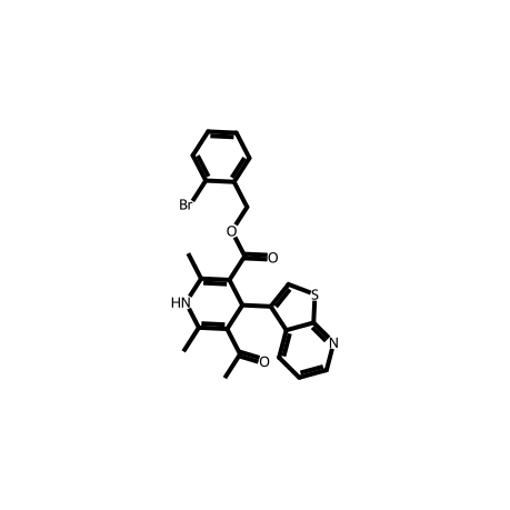 CC(=O)C1=C(C)NC(C)=C(C(=O)OCc2ccccc2Br)C1c1csc2ncccc12